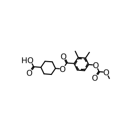 COC(=O)Oc1ccc(C(=O)OC2CCC(C(=O)O)CC2)c(C)c1C